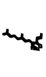 C/C=C/C(=O)N(C/C=C(\C)CCC=C(C)C)CCCC